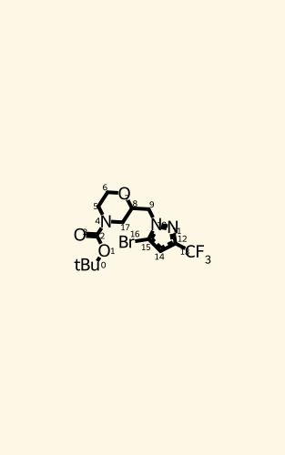 CC(C)(C)OC(=O)N1CCOC(Cn2nc(C(F)(F)F)cc2Br)C1